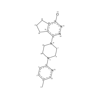 Cc1ccc(N2CCN(c3nnc(Cl)c4c3CCC4)CC2)nc1